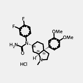 COc1ccc([C@@]23CC[C@@H](N(C(N)=O)c4ccc(F)c(F)c4)C[C@@H]2N(C)CC3)cc1OC.Cl